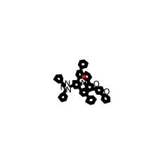 c1ccc(-c2ccc(-c3cc(-c4nc(-c5ccccc5)nc(-c5ccccc5)n4)cc(-c4ccc(-c5ccccc5)cc4)c3-n3c4ccccc4c4c5oc6cc7oc8ccccc8c7cc6c5ccc43)cc2)cc1